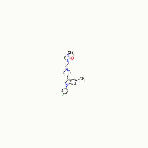 CN1CCN(CCN2CCC(c3cn(-c4ccc(F)cc4)c4ccc(C(F)(F)F)cc34)CC2)C1=O